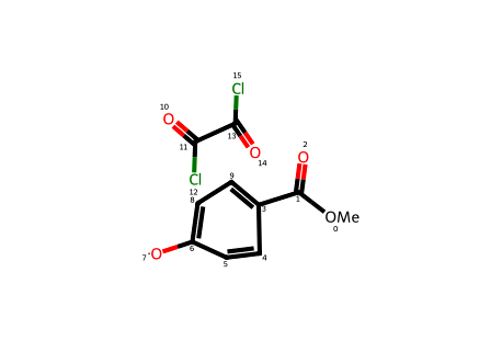 COC(=O)c1ccc([O])cc1.O=C(Cl)C(=O)Cl